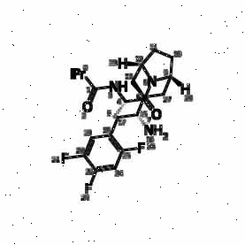 CC(C)C(=O)N[C@@H](C)C(=O)N1[C@@H]2CC[C@H]1C[C@H]([C@H](N)Cc1cc(F)c(F)cc1F)C2